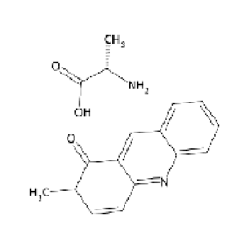 CC1C=Cc2nc3ccccc3cc2C1=O.C[C@H](N)C(=O)O